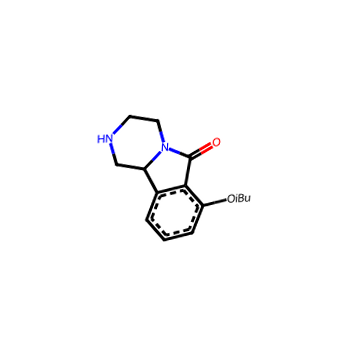 CC(C)COc1cccc2c1C(=O)N1CCNCC21